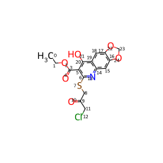 CCOC(=O)c1c(SCC(=O)CCl)nc2cc3c(cc2c1O)OCO3